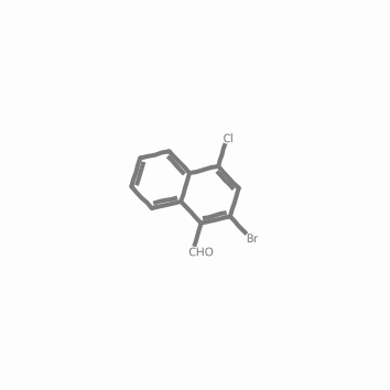 O=Cc1c(Br)cc(Cl)c2ccccc12